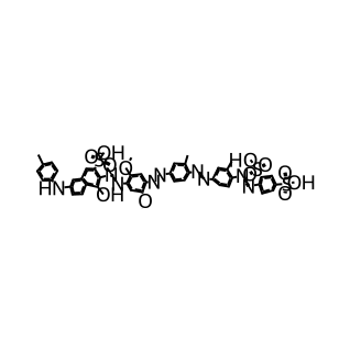 COc1cc(N=Nc2c(S(=O)(=O)O)cc3cc(Nc4ccc(C)cc4)ccc3c2O)c(OC)cc1N=Nc1ccc(N=Nc2ccc(N=Nc3ccc(S(=O)(=O)O)cc3S(=O)(=O)O)c(C)c2)c(C)c1